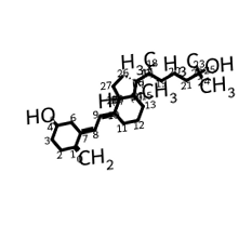 C=C1CCC(O)CC1=CC=C1CCC[C@]2(C)[C@@H]([C@H](C)CCCC(C)(C)O)CC[C@@H]12